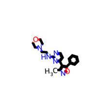 Cc1noc(-c2ccccc2)c1-c1ccnc(NCCN2CCOCC2)n1